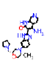 C[C@@H]1CO[C@H](CN2CCCC2)CN1c1ccc2nc(-c3c(N)c4ccncc4[nH]c3=O)[nH]c2c1